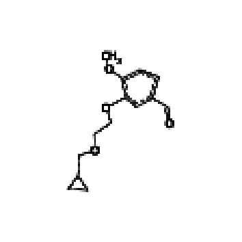 COc1ccc(C=O)cc1OCCOCC1CC1